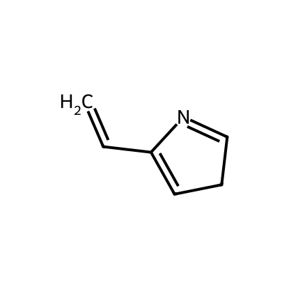 C=CC1=CCC=N1